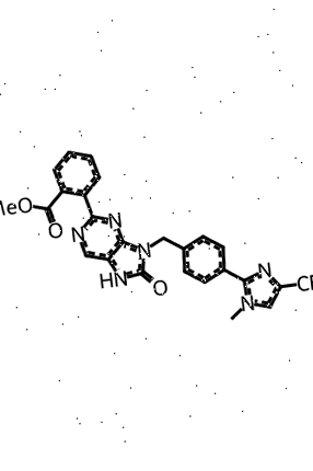 COC(=O)c1ccccc1-c1ncc2[nH]c(=O)n(Cc3ccc(-c4nc(C(F)(F)F)cn4C)cc3)c2n1